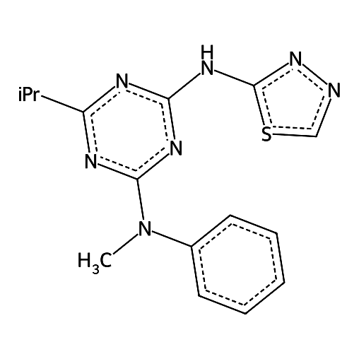 CC(C)c1nc(Nc2nncs2)nc(N(C)c2ccccc2)n1